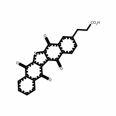 O=C(O)CCc1ccc2c(=O)c3c(sc4c(=O)c5ccccc5c(=O)c43)c(=O)c2c1